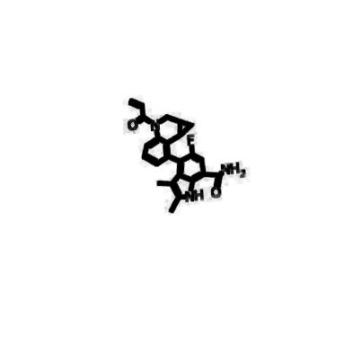 C=CC(=O)N1CC2CC2c2c(-c3c(F)cc(C(N)=O)c4[nH]c(C)c(C)c34)cccc21